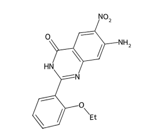 CCOc1ccccc1-c1nc2cc(N)c([N+](=O)[O-])cc2c(=O)[nH]1